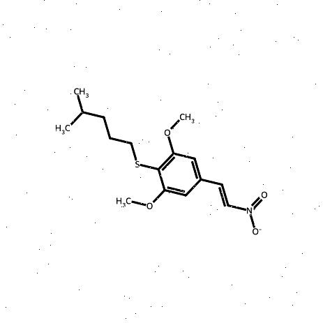 COc1cc(/C=C/[N+](=O)[O-])cc(OC)c1SCCCC(C)C